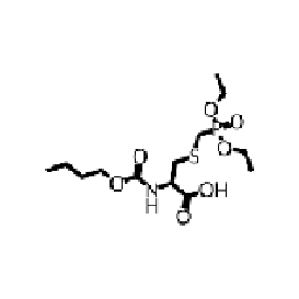 CCCCOC(=O)NC(CSCP(=O)(OCC)OCC)C(=O)O